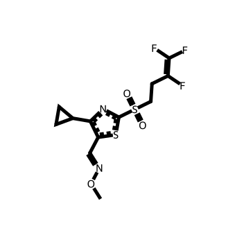 CON=Cc1sc(S(=O)(=O)CCC(F)=C(F)F)nc1C1CC1